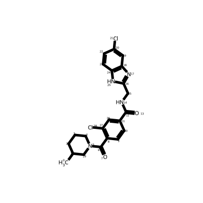 CC1CCCN(C(=O)c2ccc(C(=O)NCc3nc4cc(Cl)ccc4[nH]3)cc2Cl)C1